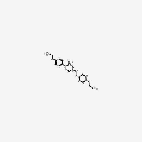 CCCc1ccc(-c2cnc(CC[C@H]3CC[C@H](CCC)CC3)nc2C)cc1